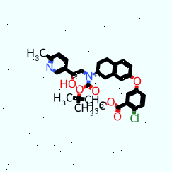 COC(=O)c1cc(Oc2ccc3c(c2)C[C@@H](N(C[C@@H](O)c2ccc(C)nc2)C(=O)OC(C)(C)C)CC3)ccc1Cl